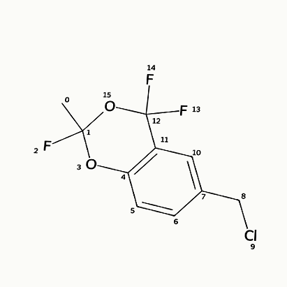 CC1(F)Oc2ccc(CCl)cc2C(F)(F)O1